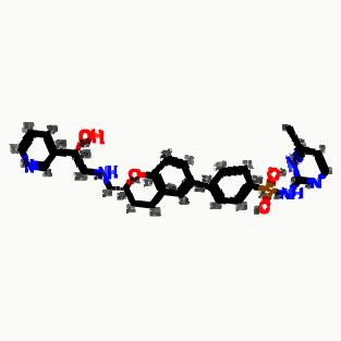 Cc1ccnc(NS(=O)(=O)c2ccc(-c3ccc4c(c3)CC[C@H](CNC[C@@H](O)c3cccnc3)O4)cc2)n1